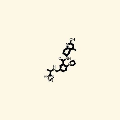 Cc1cc(O)nc2ccc(NC(=O)c3cc(CNC(C)c4nnn[nH]4)ccc3N3CCCC3)cc12